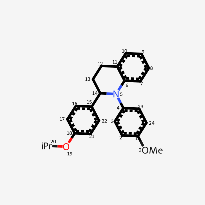 COc1ccc(N2c3ccccc3CCC2c2ccc(OC(C)C)cc2)cc1